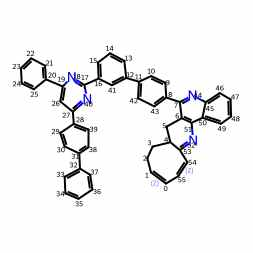 C1=C\CCC2Cc3c(-c4ccc(-c5cccc(-c6nc(-c7ccccc7)cc(-c7ccc(-c8ccccc8)cc7)n6)c5)cc4)nc4ccccc4c3N=C2\C=C/1